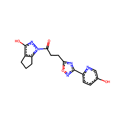 O=C(CCc1nc(-c2ccc(O)cn2)no1)n1nc(O)c2c1CCC2